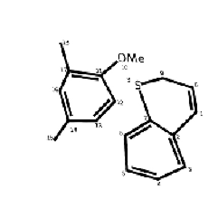 C1=Cc2ccccc2SC1.COc1ccc(C)cc1C